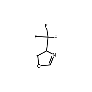 FC(F)(F)C1[CH]OC=N1